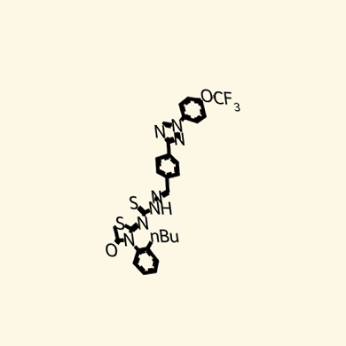 CCCCc1ccccc1N1C(=O)CS/C1=N\C(=S)N/N=C/c1ccc(-c2ncn(-c3ccc(OC(F)(F)F)cc3)n2)cc1